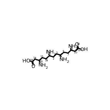 NC(CCC(N)CCC(N)CC(=O)O)CCC(N)CC(=O)O